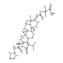 CC(C)C1=C2C3CCC4[C@@]5(C)CC[C@H](OC(=O)CC(C)(C)C(=O)O)C(C)(C)C5CC[C@@]4(C)[C@]3(C)CC[C@@]2(NC(=O)OC2CCCC2)CC1=O